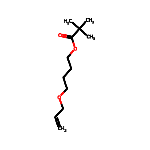 C=CCOCCCCOC(=O)C(C)(C)C